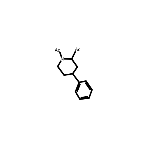 CC(=O)C1CC(c2ccccc2)CCN1C(C)=O